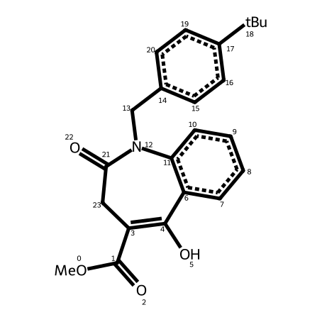 COC(=O)C1=C(O)c2ccccc2N(Cc2ccc(C(C)(C)C)cc2)C(=O)C1